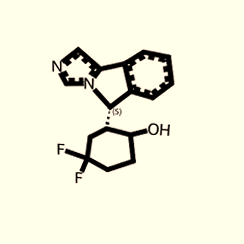 OC1CCC(F)(F)CC1[C@H]1c2ccccc2-c2cncn21